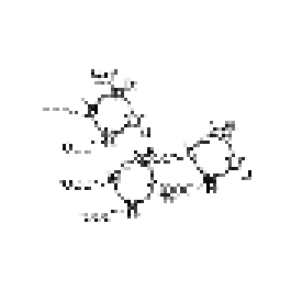 CCC1=C(C)c2cc3[nH]c(cc4nc(cc5[nH]c(cc1n2)c(C)c5CCC(=O)[O-])C(CCC(=O)[O-])=C4C)c(C)c3CC.CCC1=C(C)c2cc3[nH]c(cc4nc(cc5[nH]c(cc1n2)c(C)c5CCC(=O)[O-])C(CCC(=O)[O-])=C4C)c(C)c3CC.CCC1=C(C)c2cc3[nH]c(cc4nc(cc5[nH]c(cc1n2)c(C)c5CCC(=O)[O-])C(CCC(=O)[O-])=C4C)c(C)c3CC.[Ga+3].[Ga+3]